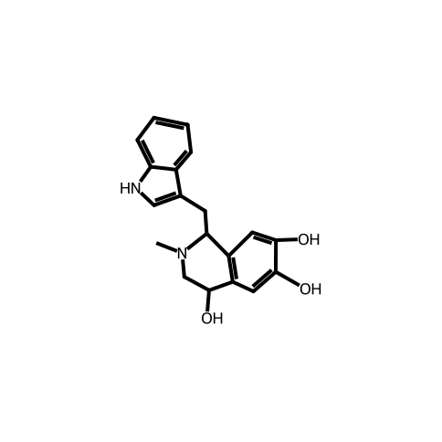 CN1CC(O)c2cc(O)c(O)cc2C1Cc1c[nH]c2ccccc12